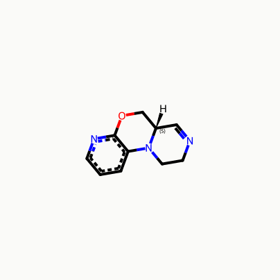 C1=NCCN2c3cccnc3OC[C@H]12